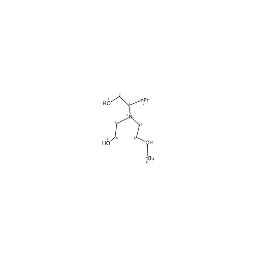 CCCC(CO)N(CCO)CCOC(C)(C)C